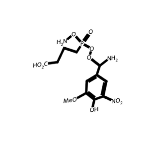 COc1cc(C(N)OOP(=O)(CCCC(=O)O)ON)cc([N+](=O)[O-])c1O